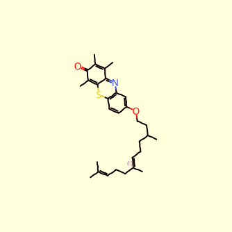 CC(C)=CCC/C(C)=C/CCC(C)CCOc1ccc2sc3c(C)c(=O)c(C)c(C)c-3nc2c1